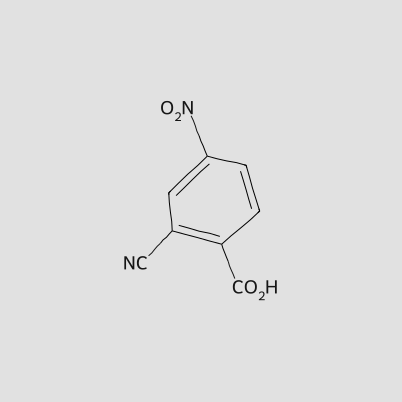 N#Cc1cc([N+](=O)[O-])ccc1C(=O)O